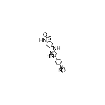 O=c1[nH]c2ccc(Nc3cc(-c4ccc(-n5cccn5)cc4)[nH]n3)cc2s1